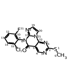 CSc1ncc2c(=O)n(-c3c(F)cccc3Cl)c3nccn3c2n1